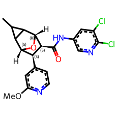 COc1cc([C@@H]2[C@H](C(=O)Nc3cnc(Cl)c(Cl)c3)[C@@H]3O[C@H]2C2C(C)C23)ccn1